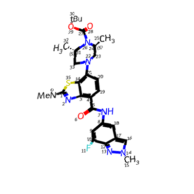 CNc1nc2c(C(=O)Nc3cc(F)c4nn(C)cc4c3)ccc(N3C[C@H](C)N(C(=O)OC(C)(C)C)[C@@H](C)C3)c2s1